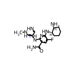 CN/C=C(\C=N)Nc1nc(N[C@@H]2CCCC[C@@H]2N)c(F)cc1C(N)=O